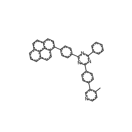 Cc1ccncc1-c1ccc(-c2nc(-c3ccccc3)nc(-c3ccc(-c4ccc5ccc6cccc7ccc4c5c67)cc3)n2)cc1